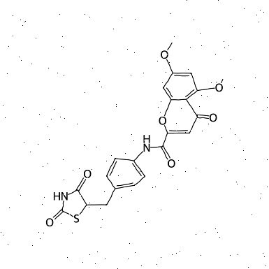 COc1cc(OC)c2c(=O)cc(C(=O)Nc3ccc(CC4SC(=O)NC4=O)cc3)oc2c1